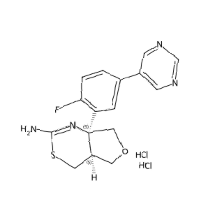 Cl.Cl.NC1=N[C@@]2(c3cc(-c4cncnc4)ccc3F)COC[C@H]2CS1